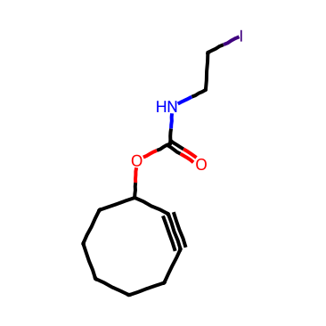 O=C(NCCI)OC1C#CCCCCC1